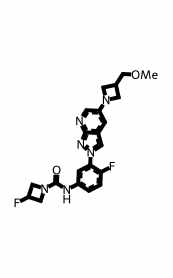 COCC1CN(c2cnc3nn(-c4cc(NC(=O)N5CC(F)C5)ccc4F)cc3c2)C1